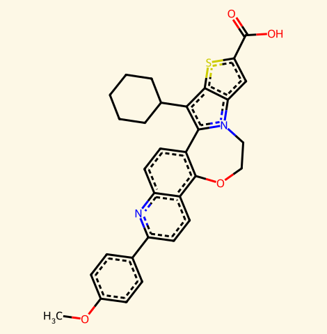 COc1ccc(-c2ccc3c4c(ccc3n2)-c2c(C3CCCCC3)c3sc(C(=O)O)cc3n2CCO4)cc1